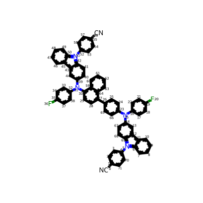 N#Cc1ccc(-n2c3ccccc3c3cc(N(c4ccc(F)cc4)c4ccc(-c5ccc(N(c6ccc(F)cc6)c6ccc7c(c6)c6ccccc6n7-c6ccc(C#N)cc6)c6ccccc56)cc4)ccc32)cc1